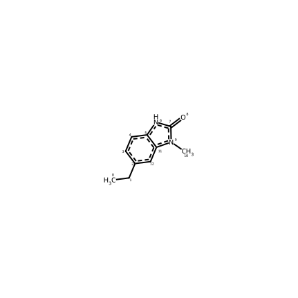 CCc1ccc2[nH]c(=O)n(C)c2c1